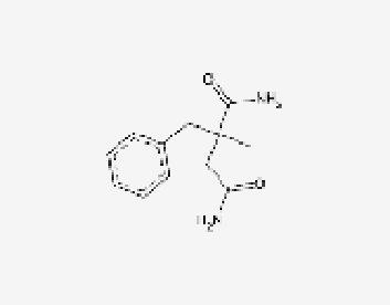 CC(CC(N)=O)(Cc1ccccc1)C(N)=O